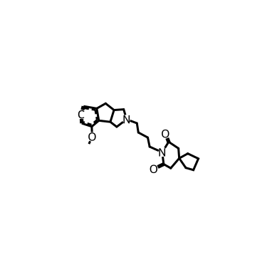 COc1cccc2c1C1CN(CCCCN3C(=O)CC4(CCCC4)CC3=O)CC1C2